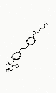 CCCCS(=O)(=O)c1ccc(/C=C/c2ccc(OCCCO)cc2)cc1